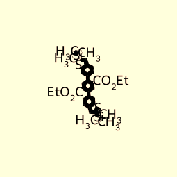 CCOC(=O)c1cc(-c2ccc3cc([Si](C)(C)C)sc3c2)c(C(=O)OCC)cc1-c1ccc2cc([Si](C)(C)C)sc2c1